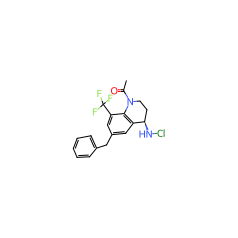 CC(=O)N1CC[C@@H](NCl)c2cc(Cc3ccccc3)cc(C(F)(F)F)c21